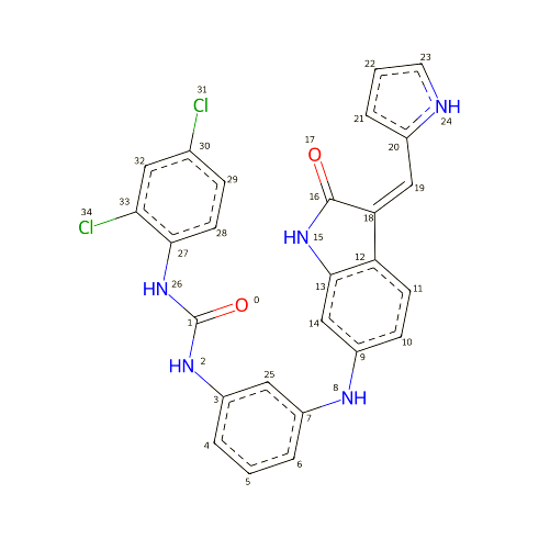 O=C(Nc1cccc(Nc2ccc3c(c2)NC(=O)/C3=C\c2ccc[nH]2)c1)Nc1ccc(Cl)cc1Cl